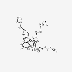 O=S(=O)(CCCCCC(F)(F)F)Oc1cccc(OS(=O)(=O)CCCCCC(F)(F)F)c1OS(=O)(=O)CCCCCC(F)(F)F